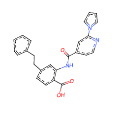 O=C(Nc1cc(CCc2ccccc2)ccc1C(=O)O)c1ccnc(-n2cccc2)c1